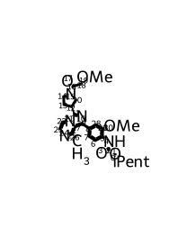 CCCC(C)OC(=O)Nc1ccc(-c2nc([C@H]3CCN(C(=O)COC)C3)n3ccnc(C)c23)cc1OC